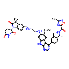 COc1cc2c(cc1NCCNCc1ccc3c(c1)C1(CC1)C(=O)N3C1CCC(=O)NC1=O)[nH]c1ncnc(-c3ccc([C@@H](C)NC(=O)c4nc(C(C)(C)C)no4)c(C)c3)c12